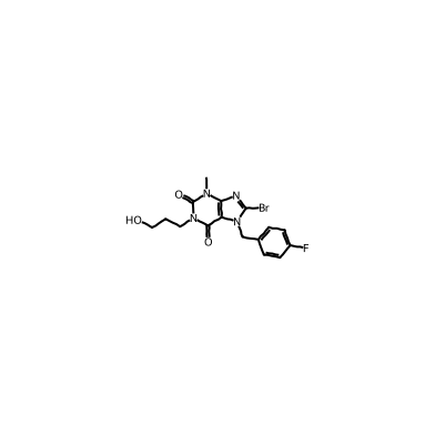 Cn1c(=O)n(CCCO)c(=O)c2c1nc(Br)n2Cc1ccc(F)cc1